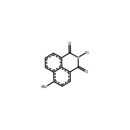 CCN1C(=O)c2cccc3c(C(C)(C)C)ccc(c23)C1=O